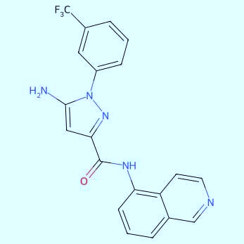 Nc1cc(C(=O)Nc2cccc3cnccc23)nn1-c1cccc(C(F)(F)F)c1